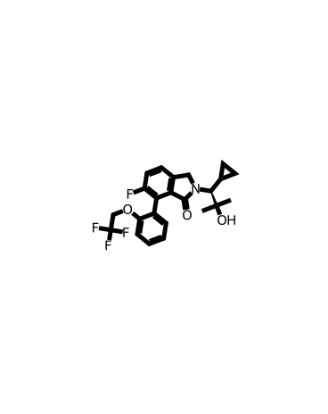 CC(C)(O)[C@H](C1CC1)N1Cc2ccc(F)c(-c3ccccc3OCC(F)(F)F)c2C1=O